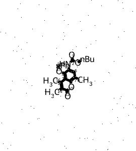 CCCCOC(=O)Nc1cc(C)c2oc(=O)c(C)c(C)c2c1OCCC